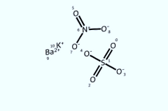 O=S(=O)([O-])[O-].O=[N+]([O-])[O-].[Ba+2].[K+]